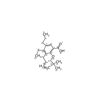 CCCc1cc(C(=O)O)c(OCC(C)(C)C)c(CCC)c1CC